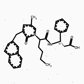 CCCCC(C(=O)N[C@@H](CC(=O)O)c1ccccc1)n1cc(C)cc(Cc2ccc3ccccc3c2)c1=O